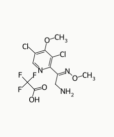 CON=C(CN)c1ncc(Cl)c(OC)c1Cl.O=C(O)C(F)(F)F